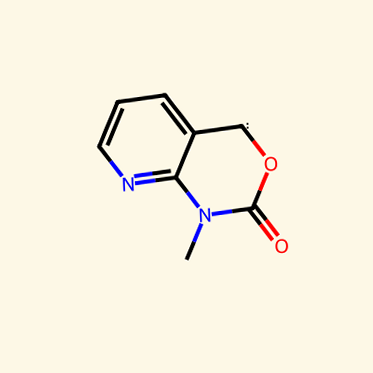 CN1C(=O)O[C]c2cccnc21